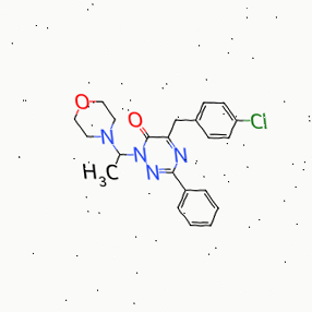 CC(N1CCOCC1)n1nc(-c2ccccc2)nc(Cc2ccc(Cl)cc2)c1=O